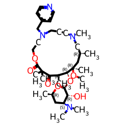 CO[C@]1(C)C[C@@H](C)CN(C)CCCN(Cc2ccncc2)CCOC(=O)C(C)(C)C(=O)[C@H](C)[C@H]1O[C@@H]1O[C@H](C)C[C@H](N(C)C)[C@H]1O